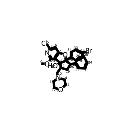 COc1nc(Cl)cc2c1C1(O)C(CN3CCOCC3)CC(c3ccccc3)C1(c1ccc(Br)cc1)O2